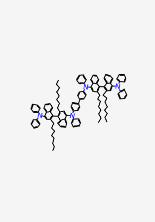 CCCCCCCCc1cc(N(c2ccccc2)c2ccccc2)c2ccccc2c1-c1c(CCCCCCCC)cc(N(c2ccccc2)c2ccc(-c3ccc(N(c4ccccc4)c4cc(CCCCCCCC)c(-c5c(CCCCCCCC)cc(N(c6ccccc6)c6ccccc6)c6ccccc56)c5ccccc45)cc3)cc2)c2ccccc12